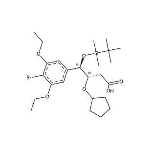 CCOc1cc([C@@H](O[Si](C)(C)C(C)(C)C)[C@H](CC(=O)O)OC2CCCC2)cc(OCC)c1Br